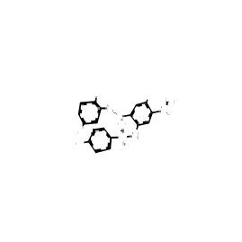 CCN(CC)c1cc(NS(=O)(=O)c2ccc(C)cc2)c(N=Nc2cc(C)ccc2O)cc1Cl